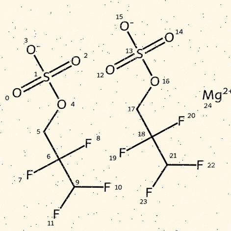 O=S(=O)([O-])OCC(F)(F)C(F)F.O=S(=O)([O-])OCC(F)(F)C(F)F.[Mg+2]